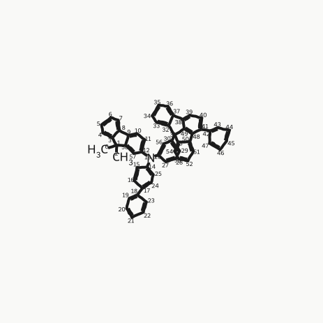 CC1(C)c2ccccc2-c2ccc(N(c3ccc(-c4ccccc4)cc3)c3cccc(C45c6ccccc6-c6ccc(-c7ccccc7)c(c64)-c4ccccc45)c3)cc21